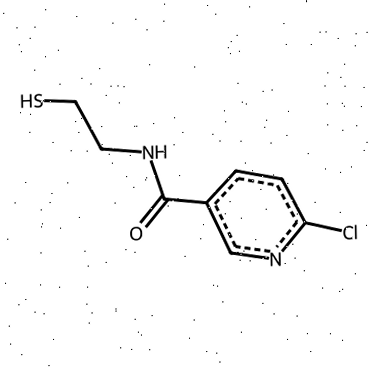 O=C(NCCS)c1ccc(Cl)nc1